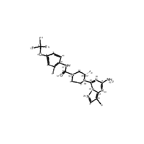 Cc1cc(OC(F)(F)F)ccc1NC(=O)N1CCN(c2nc(N)nc3c(C)cnn23)[C@@H](C)C1